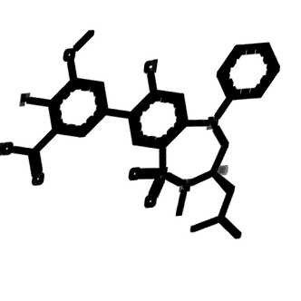 COc1cc(-c2cc3c(cc2Cl)N(c2ccccc2)C[C@@H](CC(C)C)N(C)S3(=O)=O)cc(C(=O)O)c1F